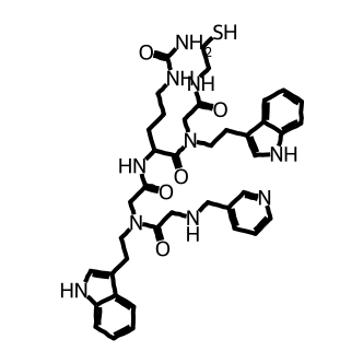 NC(=O)NCCCC(NC(=O)CN(CCc1c[nH]c2ccccc12)C(=O)CNCc1cccnc1)C(=O)N(CCc1c[nH]c2ccccc12)CC(=O)NCCS